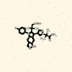 COCC(C)(C)c1c(-c2cnn(C(C)(C)C(N)=O)c2)c2cc3[nH]ncc3cc2n1-c1ccc(F)cc1